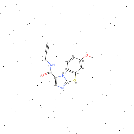 C#CCNC(=O)c1cnc2sc3cc(OC)ccc3n12